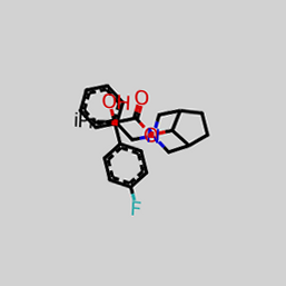 CC(C)C(O)(C(=O)OC1C2CCC1CN(Cc1ccccc1)C2)c1ccc(F)cc1